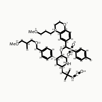 COCCCN1CCOc2ccc(C(O[C@H]3CN[C@@H](CC(C)(C)N=C=O)C[C@@H]3c3ccc(COCC(C)COC)cc3)S(=O)(=O)c3ccc(C)cc3)cc21